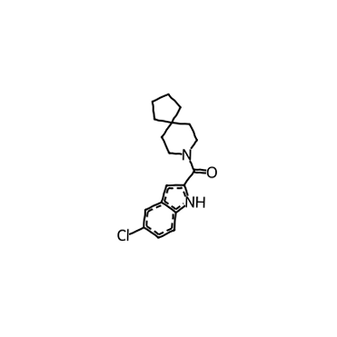 O=C(c1cc2cc(Cl)ccc2[nH]1)N1CCC2(CCCC2)CC1